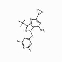 CC(C)(C)n1nc(Cc2cc(F)cc(F)c2)c2c(N)nc(C3CC3)nc21